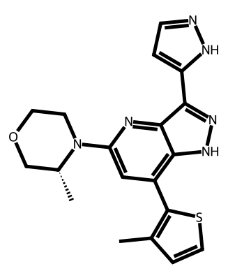 Cc1ccsc1-c1cc(N2CCOC[C@H]2C)nc2c(-c3ccn[nH]3)n[nH]c12